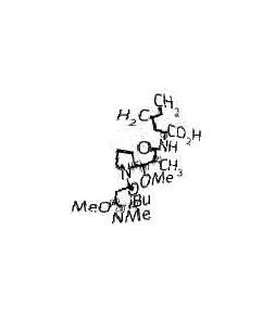 C=CC(=C)C[C@H](NC(=O)[C@H](C)[C@@H](OC)[C@@H]1CCCN1C(=O)C[C@@H](OC)[C@@H](NC)[C@@H](C)CC)C(=O)O